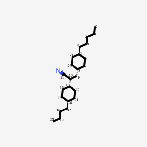 CCCCC[C@H]1CC[C@H](CC(C#N)[C@H]2CC[C@H](CCCC)CC2)CC1